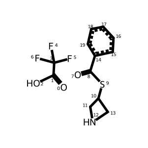 O=C(O)C(F)(F)F.O=C(SC1CNC1)c1ccccc1